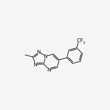 Cc1nc2ncc(-c3cccc(C(F)(F)F)c3)cn2n1